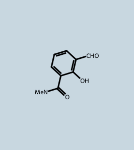 CNC(=O)c1cccc(C=O)c1O